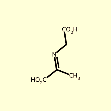 CC(=NCC(=O)O)C(=O)O